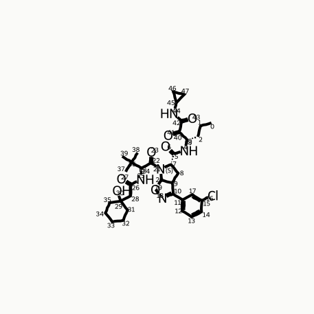 CCC[C@H](NC(=O)[C@@H]1CC2C(c3cccc(Cl)c3)=NOC2N1C(=O)[C@@H](NC(=O)CC1(O)CCCCC1)C(C)(C)C)C(=O)C(=O)NC1CC1